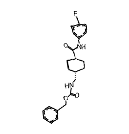 O=C(NC[C@H]1CC[C@H](C(=O)Nc2ccc(F)cc2)CC1)OCc1ccccc1